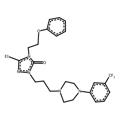 CCc1nn(CCCN2CCN(c3cccc(C(F)(F)F)c3)CC2)c(=O)n1CCOc1ccccc1